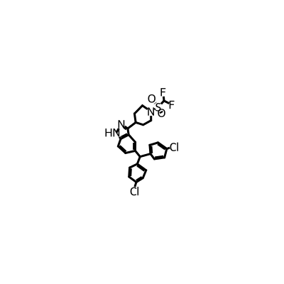 O=S(=O)(C(F)F)N1CCC(c2n[nH]c3ccc(C(c4ccc(Cl)cc4)c4ccc(Cl)cc4)cc23)CC1